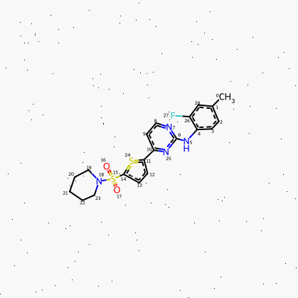 Cc1ccc(Nc2nccc(-c3ccc(S(=O)(=O)N4CCCCC4)s3)n2)c(F)c1